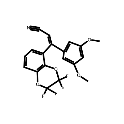 COc1cc(OC)cc(/C(=C/C#N)c2cccc3c2OC(F)(F)C(F)(F)O3)c1